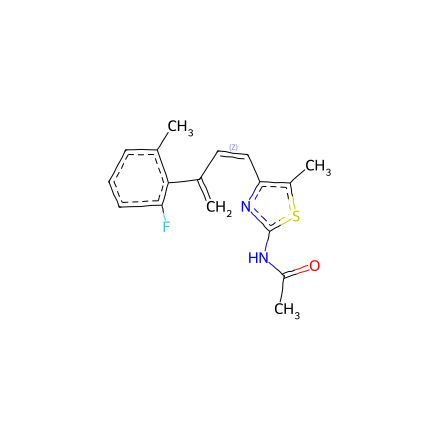 C=C(/C=C\c1nc(NC(C)=O)sc1C)c1c(C)cccc1F